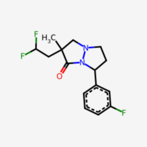 CC1(CC(F)F)CN2CCC(c3cccc(F)c3)N2C1=O